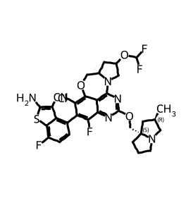 C[C@H]1CN2CCC[C@@]2(COc2nc3c4c(c(Cl)c(-c5ccc(F)c6sc(N)c(C#N)c56)c(F)c4n2)OCC2CC(OC(F)F)CN32)C1